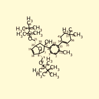 Cc1ccc([C@]2(O)C[C@@]3(CO[Si](C)(C)C(C)(C)C)C=C[C@@](CO[Si](C)(C)C(C)(C)C)(C2)O3)cc1C1=CCC(C)(C)CC1